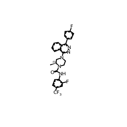 C[C@H]1CN(c2nnc(-c3ccc(F)cc3)c3ccccc23)CCN1C(=O)Nc1ccc(C(F)(F)F)cc1F